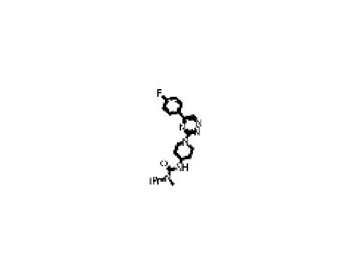 CC(C)N(C)C(=O)NC1CCN(c2nncc(-c3ccc(F)cc3)n2)CC1